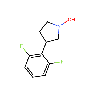 ON1CCC(c2c(F)cccc2F)C1